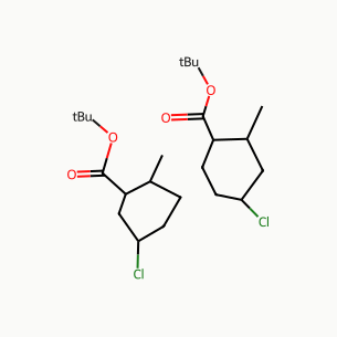 CC1CC(Cl)CCC1C(=O)OC(C)(C)C.CC1CCC(Cl)CC1C(=O)OC(C)(C)C